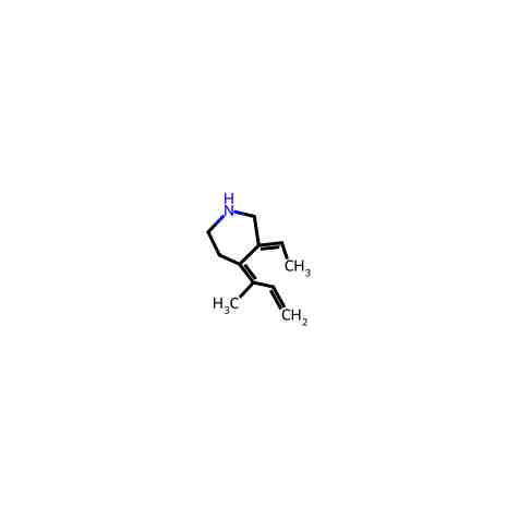 C=C/C(C)=C1/CCNC/C1=C/C